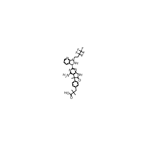 CC(C)(Cc1ccc(C2(C)C(=O)Nc3nc([C@@H]4NN(CCC(F)(F)C(F)(F)F)c5ncccc54)nc(N)c32)cc1)C(=O)O